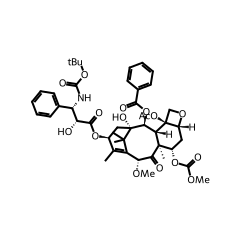 COC(=O)O[C@H]1C[C@H]2OC[C@@]2(OC(C)=O)[C@H]2[C@H](OC(=O)c3ccccc3)[C@]3(O)C[C@H](OC(=O)[C@H](O)[C@@H](NC(=O)OC(C)(C)C)c4ccccc4)C(C)=C([C@@H](OC)C(=O)[C@]12C)C3(C)C